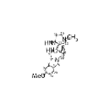 COc1ccc(CN2CCN/C(=C3/CN(C)CCC3=N)C(F)(F)C2)cc1